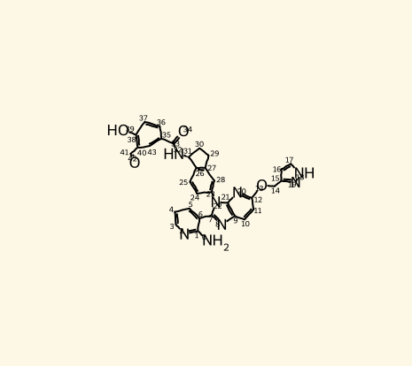 Nc1ncccc1-c1nc2ccc(OCc3cc[nH]n3)nc2n1-c1ccc2c(c1)CC[C@@H]2NC(=O)c1ccc(O)c(C=O)c1